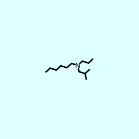 CCCCCCN(CCC)CC(C)C